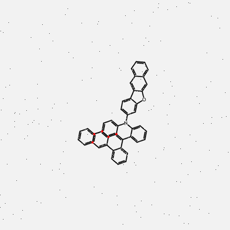 c1ccc(-c2ccc(N(c3ccc4c(c3)oc3cc5ccccc5cc34)c3ccccc3-c3cc4ccccc4c4ccccc34)cc2)cc1